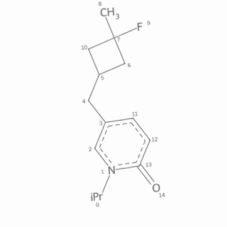 CC(C)n1cc(CC2CC(C)(F)C2)ccc1=O